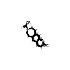 O=C(N1CCc2cc3ccc(Cl)nc3cc2CC1)C(F)(F)F